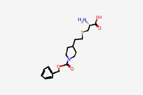 N[C@@H](CSCCC1CCN(C(=O)OCc2ccccc2)CC1)C(=O)O